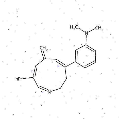 C=C1/C=C(CCC)\C=N/CC/C(c2cccc(N(C)C)c2)=C\1